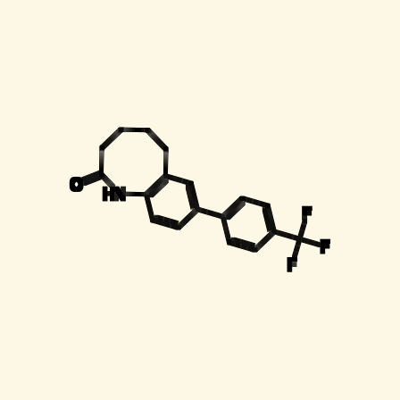 O=C1CCCCc2cc(-c3ccc(C(F)(F)F)cc3)ccc2N1